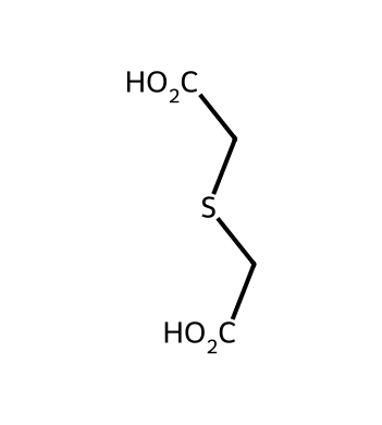 O=C(O)CSCC(=O)O